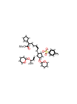 CCC[C@H](/C=C/[C@@H]1[C@@H](C/C=C\CCC(C(=O)OC)C2CCCC2)[C@H](OS(=O)(=O)c2ccc(C)cc2)C[C@H]1OC1CCCCO1)OC1CCCCO1